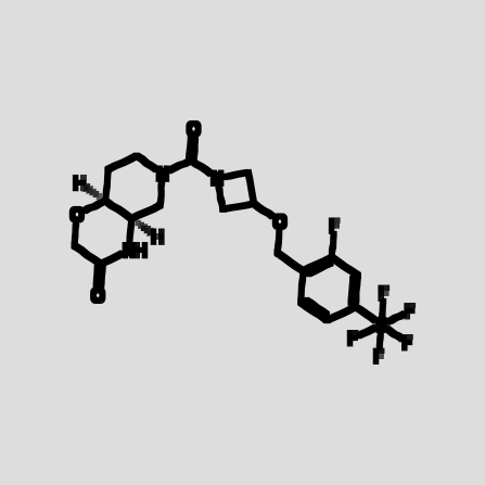 O=C1CO[C@H]2CCN(C(=O)N3CC(OCc4ccc(S(F)(F)(F)(F)F)cc4F)C3)C[C@H]2N1